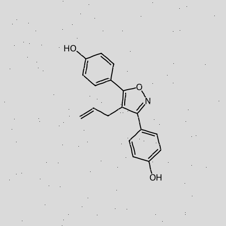 C=CCc1c(-c2ccc(O)cc2)noc1-c1ccc(O)cc1